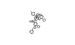 COc1cc2c(-c3cc4c(Cl)ccnc4n3S(=O)(=O)c3ccc(C)cc3)c[nH]c2cc1OCc1ccccc1